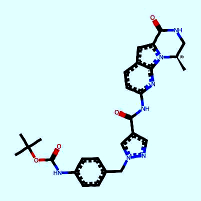 C[C@@H]1CNC(=O)c2cc3ccc(NC(=O)c4cnn(Cc5ccc(NC(=O)OC(C)(C)C)cc5)c4)nc3n21